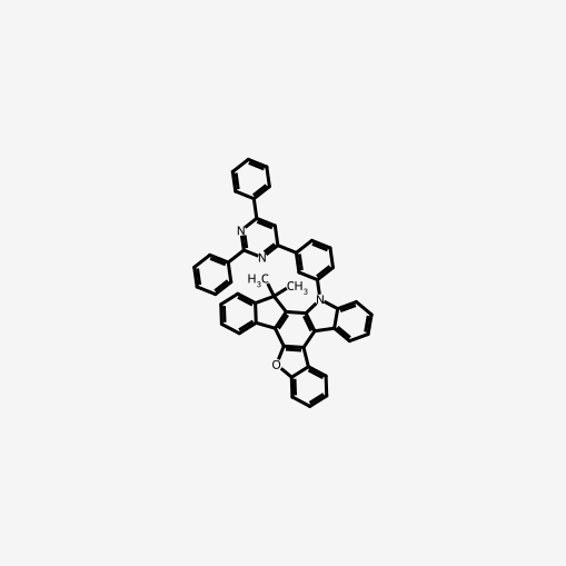 CC1(C)c2ccccc2-c2c1c1c(c3ccccc3n1-c1cccc(-c3cc(-c4ccccc4)nc(-c4ccccc4)n3)c1)c1c2oc2ccccc21